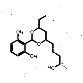 CCC1CC(CCC[C@H](C)O)OC(c2c(O)cccc2O)O1